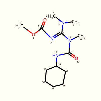 COC(=O)N=C(N(C)C)N(C)C(=O)NC1CCCCC1